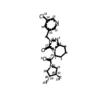 O=C([C@@H]1CCCc2nn(Cc3cncc(Cl)c3)c(=O)n21)N1C[C@@H](F)[C@H](F)C1